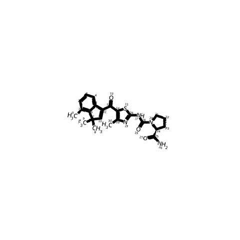 Cc1cccc2c1C(C)(C(F)(F)F)C=C2C(=O)c1sc(NC(=O)N2CCC[C@H]2C(N)=O)nc1C